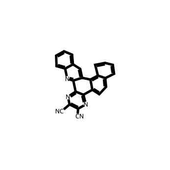 N#Cc1nc2c3ccc4ccccc4c3c3cc4ccccc4nc3c2nc1C#N